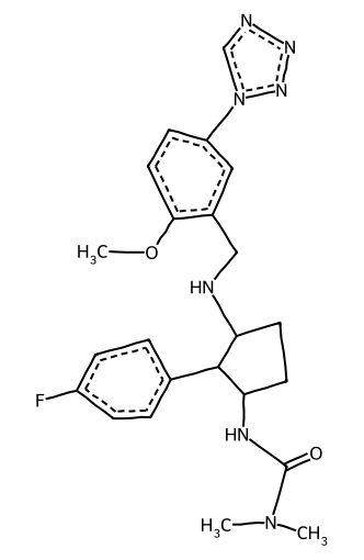 COc1ccc(-n2cnnn2)cc1CNC1CCC(NC(=O)N(C)C)C1c1ccc(F)cc1